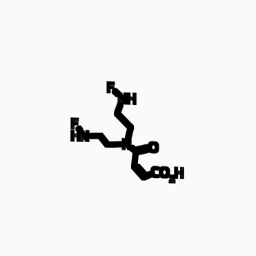 O=C(O)/C=C\C(=O)N(CCNF)CCNF